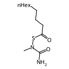 CCCCCCCCCC(=O)SN(C)C(N)=O